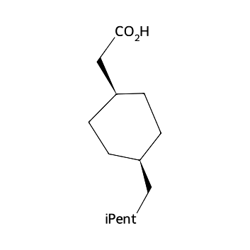 CCCC(C)C[C@H]1CC[C@@H](CC(=O)O)CC1